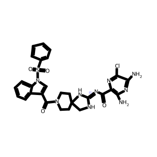 Nc1nc(N)c(C(=O)/N=C2\NCC3(CCN(C(=O)c4cn(S(=O)(=O)c5ccccc5)c5ccccc45)CC3)N2)nc1Cl